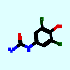 NC(=O)Nc1cc(Cl)c(O)c(Cl)c1